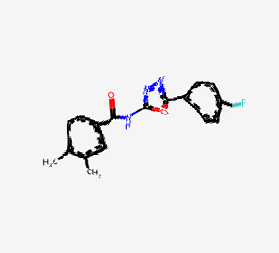 Cc1ccc(C(=O)Nc2nnc(-c3ccc(F)cc3)o2)cc1C